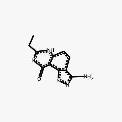 CCc1nc(=O)c2c(ccc3c(N)nsc32)[nH]1